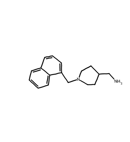 NCC1CCN(Cc2cccc3ccccc23)CC1